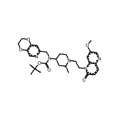 COc1cnc2ccc(=O)n(CCN3CCC(N(Cc4cc5c(cn4)OCCO5)C(=O)OC(C)(C)C)CC3C)c2c1